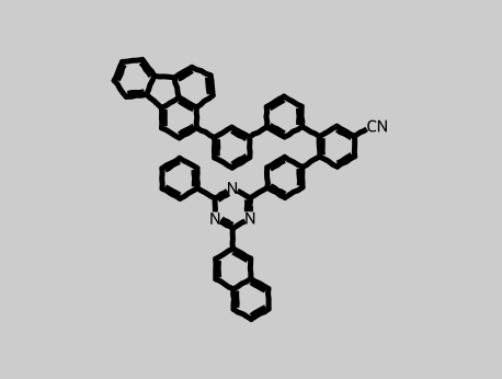 N#Cc1ccc(-c2ccc(-c3nc(-c4ccccc4)nc(-c4ccc5ccccc5c4)n3)cc2)c(-c2cccc(-c3cccc(-c4ccc5c6c(cccc46)-c4ccccc4-5)c3)c2)c1